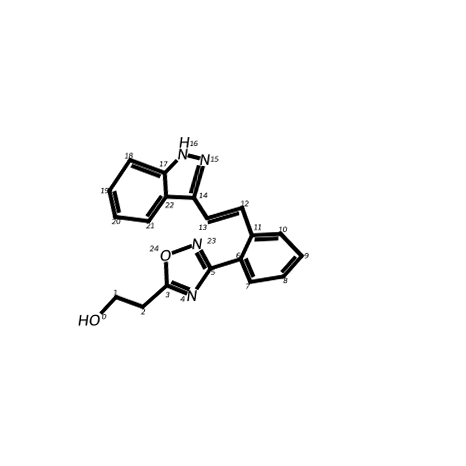 OCCc1nc(-c2ccccc2/C=C/c2n[nH]c3ccccc23)no1